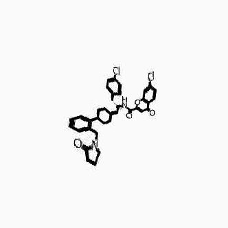 O=C(N[C@H](C=C1CCC(c2ccccc2CN2CCCC2=O)CC1)Cc1ccc(Cl)cc1)c1cc(=O)c2ccc(Cl)cc2o1